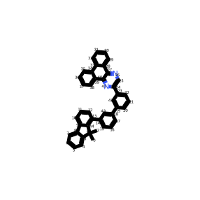 CC1(C)c2ccccc2-c2cccc(-c3cccc(-c4cccc(-c5cnc6c7ccccc7c7ccccc7c6n5)c4)c3)c21